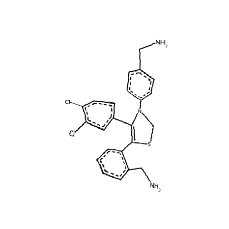 NCc1ccc(N2CSC(c3ccccc3CN)=C2c2ccc(Cl)c(Cl)c2)cc1